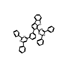 c1ccc(-c2cc(-c3cccc(-c4ccc5c(sc6ccccc65)c4-c4nc(-c5ccccc5)nc(-c5ccccc5)n4)c3)nc(-c3ccccc3)n2)cc1